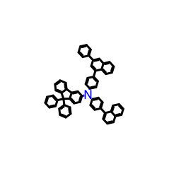 c1ccc(-c2cc(-c3ccc(N(c4ccc(-c5cccc6ccccc56)cc4)c4ccc5c(c4)-c4ccccc4C5(c4ccccc4)c4ccccc4)cc3)c3ccccc3c2)cc1